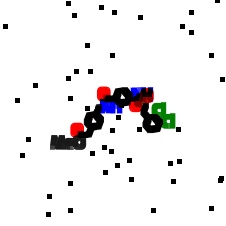 COC(=O)Cc1ccc(CNC(=O)c2ccc(NS(=O)(=O)CCc3cccc(Cl)c3Cl)cc2)cc1